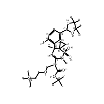 CN1C(N(COCC[Si](C)(C)C)C(=O)OC(C)(C)C)=N[C@](C)(c2cc(B3OC(C)(C)C(C)(C)O3)ccc2F)C2(CC2)S1(=O)=O